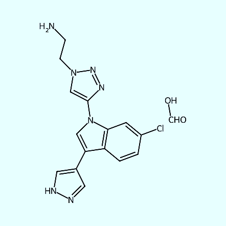 NCCn1cc(-n2cc(-c3cn[nH]c3)c3ccc(Cl)cc32)nn1.O=CO